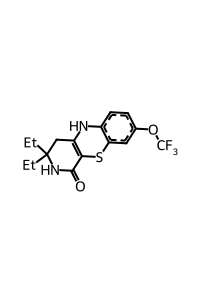 CCC1(CC)CC2=C(Sc3cc(OC(F)(F)F)ccc3N2)C(=O)N1